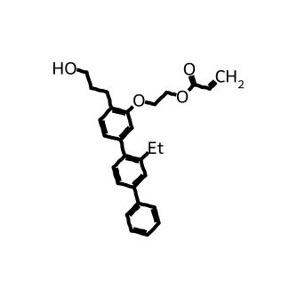 C=CC(=O)OCCOc1cc(-c2ccc(-c3ccccc3)cc2CC)ccc1CCCO